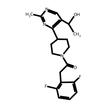 Cc1ncc(C(C)O)c(C2CCN(C(=O)Cc3c(F)cccc3F)CC2)n1